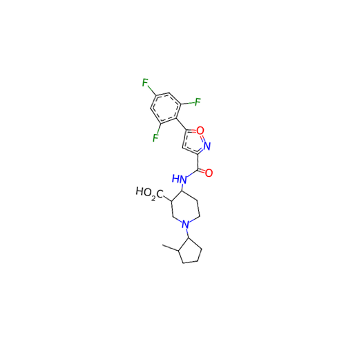 CC1CCCC1N1CCC(NC(=O)c2cc(-c3c(F)cc(F)cc3F)on2)C(C(=O)O)C1